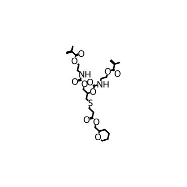 C=C(C)C(=O)OCCNC(=O)OCC(CSCCC(=O)OCC1CCCCO1)OC(=O)NCCOC(=O)C(=C)C